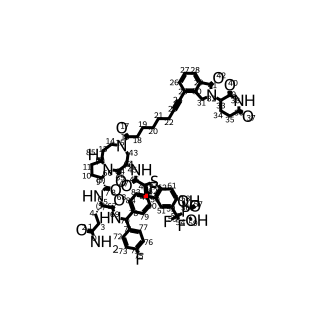 NC(=O)CC[C@H](NC(=O)[C@@H]1CC[C@@H]2CCN(C(=O)CCCCCC#Cc3cccc4c3CN(C3CCC(=O)NC3=O)C4=O)C[C@H](NC(=O)c3cc4cc(C(F)(F)P(=O)(O)O)ccc4s3)C(=O)N21)C(=O)NC(c1ccc(F)cc1)c1ccc(F)cc1